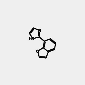 [c]1c[nH]c(-c2cccc3ccoc23)n1